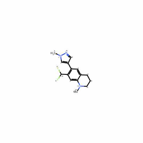 Cn1cc(-c2cc3c(cc2C(F)F)N(C(C)(C)C)CCC3)cn1